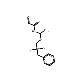 C=CC(=O)NC(C)CC[N+](C)(C)Cc1ccccc1